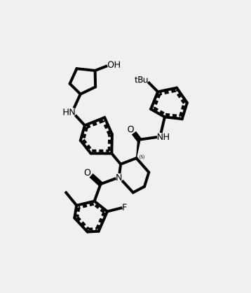 Cc1cccc(F)c1C(=O)N1CCC[C@H](C(=O)Nc2cccc(C(C)(C)C)c2)C1c1ccc(NC2CCC(O)C2)cc1